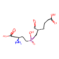 NC(CCP(=O)(O)CC(C=O)CCC(=O)O)C(=O)O